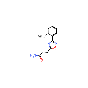 COc1ccccc1-c1noc(CCC(N)=O)n1